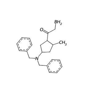 BCC(=O)C1CC(N(Cc2ccccc2)Cc2ccccc2)CC1C